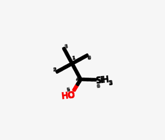 CC(C)(C)C(O)[SiH3]